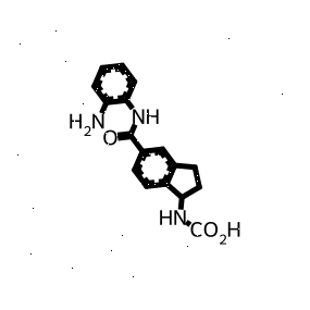 Nc1ccccc1NC(=O)c1ccc2c(c1)CCC2NC(=O)O